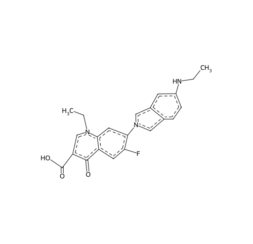 CCNc1ccc2cn(-c3cc4c(cc3F)c(=O)c(C(=O)O)cn4CC)cc2c1